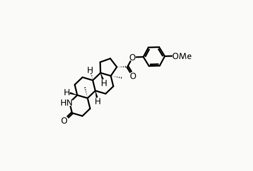 COc1ccc(OC(=O)[C@H]2CC[C@H]3[C@@H]4CC[C@H]5NC(=O)CC[C@]5(C)[C@H]4CC[C@]23C)cc1